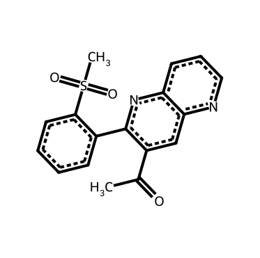 CC(=O)c1cc2ncccc2nc1-c1ccccc1S(C)(=O)=O